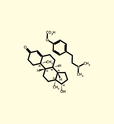 CN(C)CCc1ccc(OC(=O)O)cc1.C[C@]12CC[C@H]3[C@@H](CCC4=CC(=O)CC[C@@]43C)[C@@H]1CC[C@@H]2O